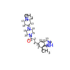 Cc1cc(CCC(=O)N2CCN(C3CCN(C)CC3)CC2)cc2cn[nH]c12